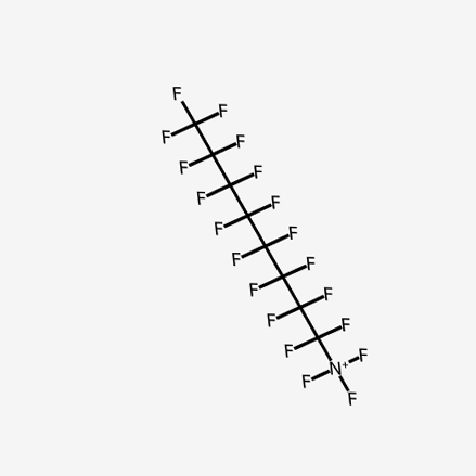 FC(F)(F)C(F)(F)C(F)(F)C(F)(F)C(F)(F)C(F)(F)C(F)(F)C(F)(F)[N+](F)(F)F